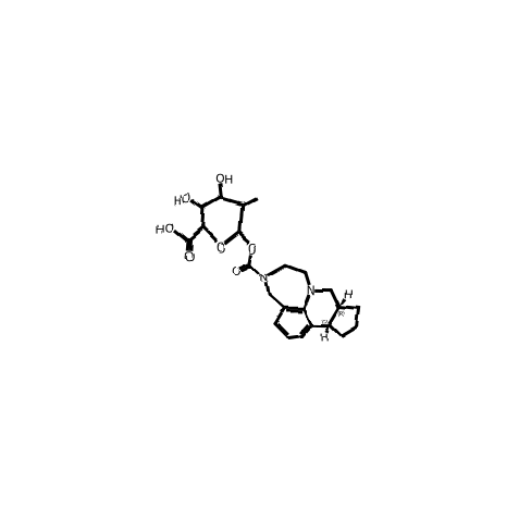 CC1C(OC(=O)N2CCN3C[C@@H]4CCC[C@@H]4c4cccc(c43)C2)OC(C(=O)O)C(O)C1O